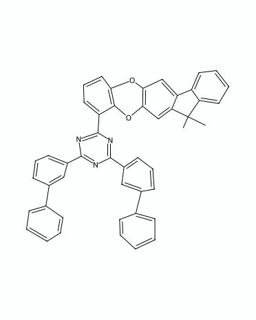 CC1(C)c2ccccc2-c2cc3c(cc21)Oc1c(cccc1-c1nc(-c2cccc(-c4ccccc4)c2)nc(-c2cccc(-c4ccccc4)c2)n1)O3